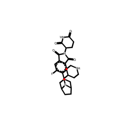 O=C1CCC(N2C(=O)c3cc(F)c(N4CC5CCC(C4)N5CC4CCNCC4)cc3C2=O)C(=O)N1